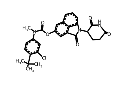 CN(C(=O)Oc1cc2c3c(cccc3c1)N(C1CCC(=O)NC1=O)C2=O)c1ccc(C(C)(C)C)c(Cl)c1